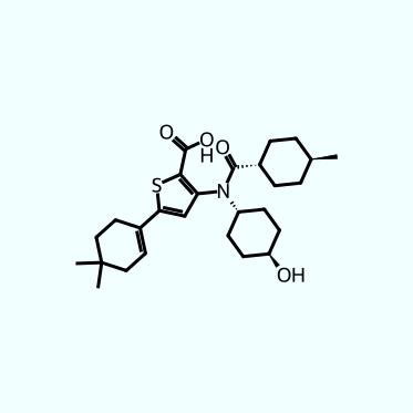 CC1(C)CC=C(c2cc(N(C(=O)[C@H]3CC[C@H](C)CC3)[C@H]3CC[C@H](O)CC3)c(C(=O)O)s2)CC1